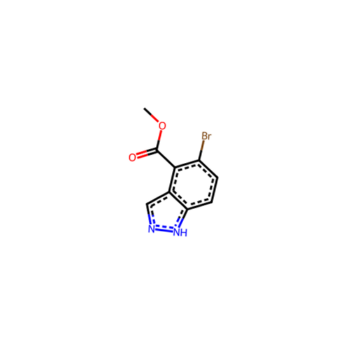 COC(=O)c1c(Br)ccc2[nH]ncc12